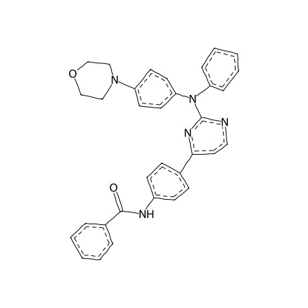 O=C(Nc1ccc(-c2ccnc(N(c3ccccc3)c3ccc(N4CCOCC4)cc3)n2)cc1)c1ccccc1